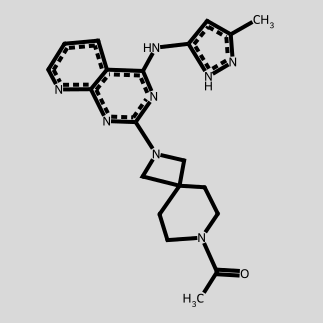 CC(=O)N1CCC2(CC1)CN(c1nc(Nc3cc(C)n[nH]3)c3cccnc3n1)C2